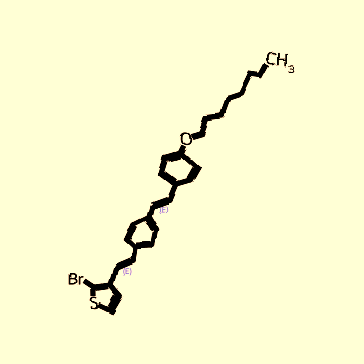 CCCCCCCCOc1ccc(/C=C/c2ccc(/C=C/c3ccsc3Br)cc2)cc1